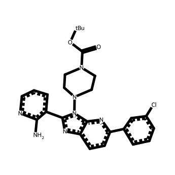 CC(C)(C)OC(=O)N1CCN(n2c(-c3cccnc3N)nc3ccc(-c4cccc(Cl)c4)nc32)CC1